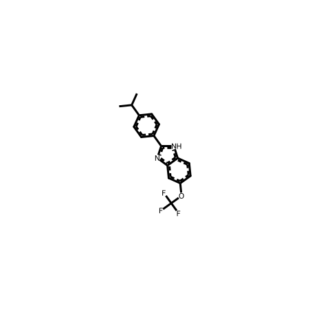 CC(C)c1ccc(-c2nc3cc(OC(F)(F)F)ccc3[nH]2)cc1